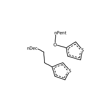 CCCCCCCCCCCCc1ccsc1.CCCCCOc1ccsc1